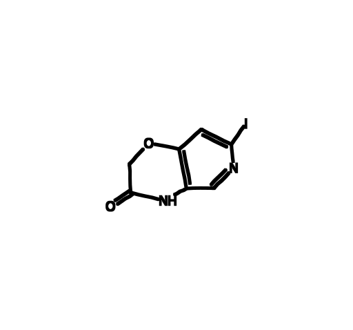 O=C1COc2cc(I)ncc2N1